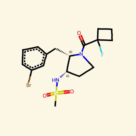 CS(=O)(=O)N[C@H]1CCN(C(=O)C2(F)CCC2)[C@H]1Cc1cccc(Br)c1